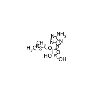 CN(C)OCCOC1C(O)[C@@H](CO)O[C@H]1n1cnc2c(N)ncnc21